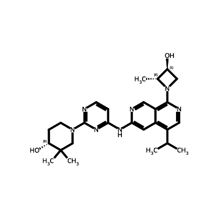 CC(C)c1cnc(N2C[C@H](O)[C@H]2C)c2cnc(Nc3ccnc(N4CC[C@@H](O)C(C)(C)C4)n3)cc12